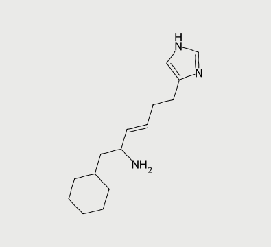 NC(C=CCCc1c[nH]cn1)CC1CCCCC1